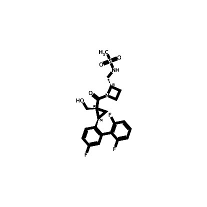 CS(=O)(=O)NC[C@@H]1CCN1C(=O)[C@]1(CO)C[C@H]1c1ccc(F)cc1-c1c(F)cccc1F